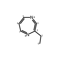 CCC1=C=NC=CC=N1